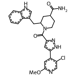 COc1cc(-c2cc(C(=O)N3CCC(C(N)=O)CC3Cc3c[nH]c4ccccc34)n[nH]2)c(Cl)cn1